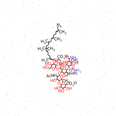 C=C(C/C=C(\C)CCC=C(C)C)CCC(C)(C)/C=C/CC/C(C)=C\COC(COP(=O)(O)OC1OC(C(N)=O)C(C)(O)C(OC(N)=O)C1OC1OC(COC2OC(CO)C(O)C(O)C2O)C(OC2OC(C)C(OC3OC(C(=O)O)C(O)C(O)C3O)C(O)C2NC(C)=O)C(O)C1NC(C)=O)C(=O)O